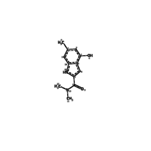 Cc1cc(O)c2cc(C(=O)N(C)C)[nH]c2c1